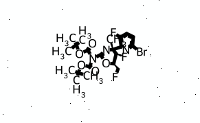 CC(C)(C)OC(=O)N(C(=O)OC(C)(C)C)C1=N[C@](C)(c2nc(Br)ccc2F)[C@@H](F)[C@@H](CF)O1